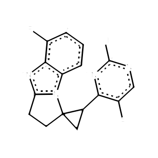 Fc1cnc(Cl)nc1C1CC12CCc1nc3c(F)cccc3n12